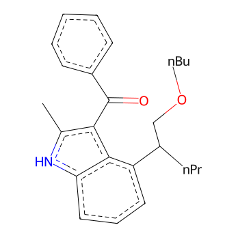 CCCCOCC(CCC)c1cccc2[nH]c(C)c(C(=O)c3ccccc3)c12